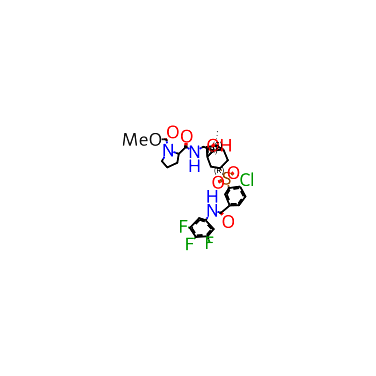 COC(=O)N1CCCC1C(=O)NC[C@@]1(O)C2C[C@@H](S(=O)(=O)c3cc(C(=O)Nc4cc(F)c(F)c(F)c4)ccc3Cl)CC1[C@@H](C)C2